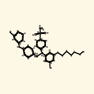 CCCCCCCc1cc(C)nc(N(Nc2ccc(Sc3cccc(C)c3)cc2)c2ccc(S(N)(=O)=O)cc2)n1